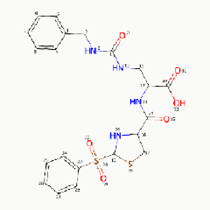 O=C(NCc1ccccc1)NCC(NC(=O)C1CSC(S(=O)(=O)c2ccccc2)N1)C(=O)O